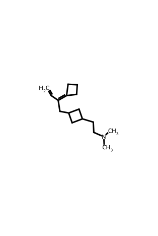 C=CC(CC1CC(CCN(C)C)C1)=C1CCC1